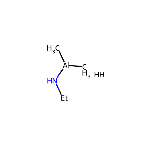 CC[NH][Al]([CH3])[CH3].[HH]